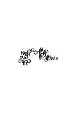 CCN(CC)[C@@H](C(=O)N1CCC[C@H]1c1ncc(-c2ccc(Oc3cccc(-c4cnc([C@@H]5C[Si](C)(C)CN5C(=O)[C@@H](NC(=O)OC)C(C)C)[nH]4)c3)cc2)[nH]1)c1ccccc1